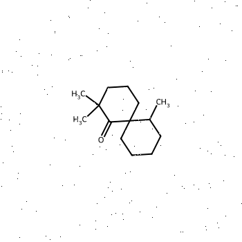 CC1CCCCC12CCCC(C)(C)C2=O